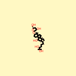 C[C@H](CC[C@@H](O)C(C)(C)O)[C@H]1CC[C@@]2(C)[C@@H]3CC=C4C(CC[C@H](O[C@H]5C[C@@H](O)C[C@@H](CO)O5)C4(C)C)[C@]3(C)[C@H](O)C[C@]12C